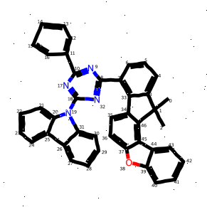 CC1(C)c2cccc(-c3nc(-c4ccccc4)nc(-n4c5ccccc5c5ccccc54)n3)c2-c2ccc3oc4ccccc4c3c21